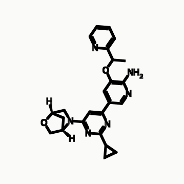 CC(Oc1cc(-c2cc(N3C[C@@H]4C[C@H]3CO4)nc(C3CC3)n2)cnc1N)c1ccccn1